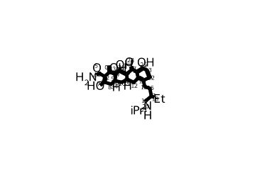 C=C1C(C(N)=O)=C(O)C[C@@H]2C[C@@H]3Cc4c(CCC(CC)CNC(C)C)ccc(O)c4C(=O)C3=C(O)[C@]12O